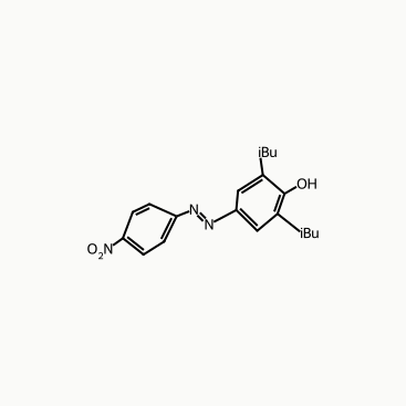 CCC(C)c1cc(N=Nc2ccc([N+](=O)[O-])cc2)cc(C(C)CC)c1O